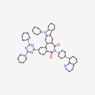 O=c1c2ccc(-c3nc(-c4ccccc4)nc(-c4ccccc4)n3)cc2c2cc3c(cc2c(=O)n1-c1ccc(-c2cccc4cccnc24)cc1)c1ccccc1n3-c1ccccc1